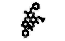 CN(C(=O)OC(C)(C)C)[C@@H](CC1CC1)C(=O)O[C@H](Cc1ccc(N2CCOCC2)nc1)C(=O)OCc1ccccc1